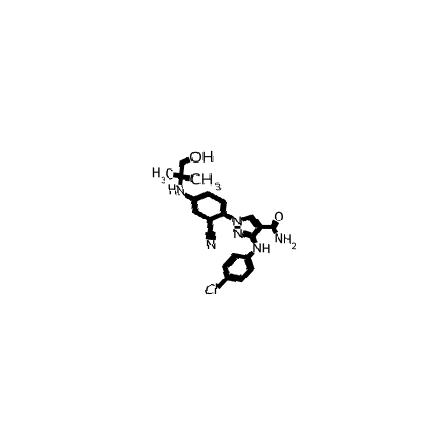 CC(C)(CO)NC1CCC(n2cc(C(N)=O)c(Nc3ccc(Cl)cc3)n2)C(C#N)C1